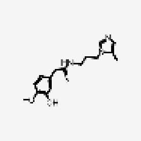 COc1ccc(CC(=S)NCCCn2cncc2C)cc1O